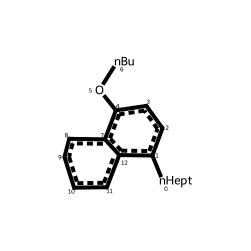 CCCCCCCc1ccc(OCCCC)c2ccccc12